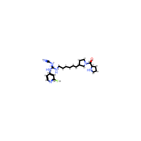 N#C/N=C(/NCCCCCCC1CCN(C(=O)C2CCCN2)C1)Nc1ccnc(F)c1